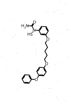 NC(=O)N(S)c1cccc(OCCCCCOc2ccc(Oc3ccccc3)cc2)c1